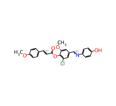 COc1ccc(/C=C/C(=O)Oc2c(Cl)cc(/C=N/c3ccc(O)cc3)cc2OC)cc1